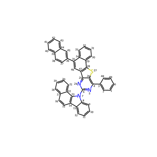 c1ccc(-c2nc(-n3c4ccccc4c4ccc5ccccc5c43)nc3c2sc2c4ccccc4c(-c4ccc5ccccc5c4)cc32)cc1